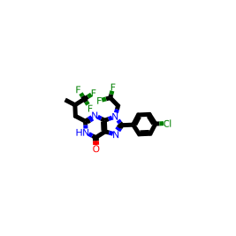 CC(Cc1nc2c(nc(-c3ccc(Cl)cc3)n2CC(F)F)c(=O)[nH]1)C(F)(F)F